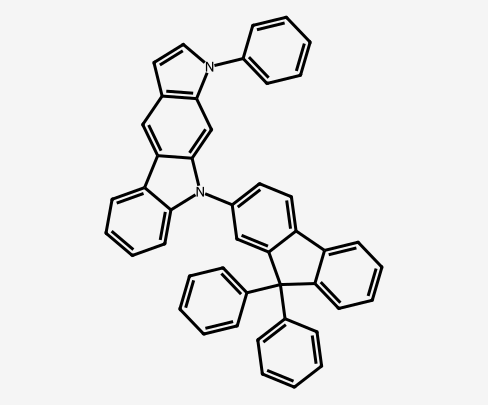 c1ccc(-n2ccc3cc4c5ccccc5n(-c5ccc6c(c5)C(c5ccccc5)(c5ccccc5)c5ccccc5-6)c4cc32)cc1